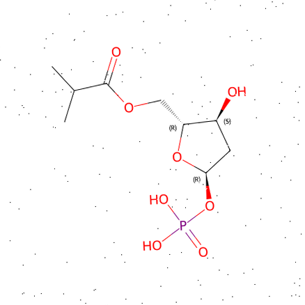 CC(C)C(=O)OC[C@H]1O[C@H](OP(=O)(O)O)C[C@@H]1O